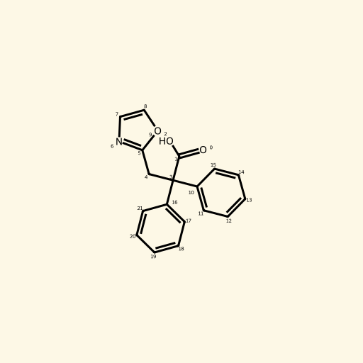 O=C(O)C(Cc1ncco1)(c1ccccc1)c1ccccc1